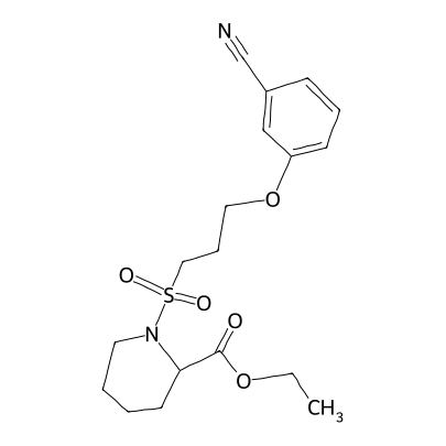 CCOC(=O)C1CCCCN1S(=O)(=O)CCCOc1cccc(C#N)c1